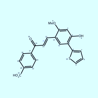 COc1cc(O)c(-c2cccs2)cc1/C=C/C(=O)c1ccc(C(=O)O)cc1